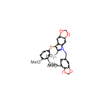 COc1ccc(Sc2c(C(=O)O)n(Cc3cc(OC)c4c(c3)OCO4)c3cc4c(cc23)OCO4)cc1OC